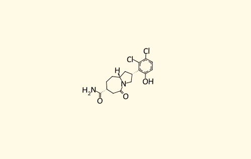 NC(=O)[C@@H]1CC[C@@H]2C[C@H](c3c(O)ccc(Cl)c3Cl)CN2C(=O)C1